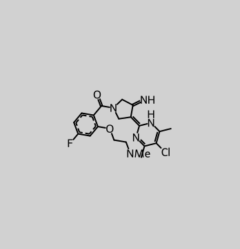 CNCCOc1cc(F)ccc1C(=O)N1CC(=N)/C(=C2/N=C(C)C(Cl)=C(C)N2)C1